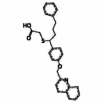 O=C(O)CSC(CCCc1ccccc1)c1ccc(OCc2ccc3ccccc3n2)cc1